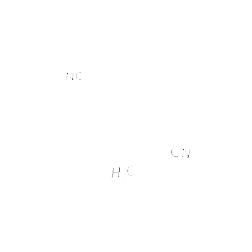 CC1(C#N)CC=C(C#N)C1